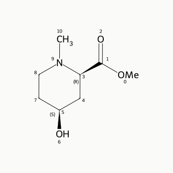 COC(=O)[C@H]1C[C@@H](O)CCN1C